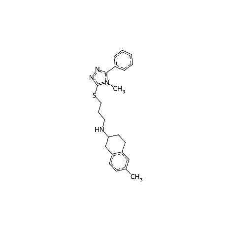 Cc1ccc2c(c1)CCC(NCCCSc1nnc(-c3ccccc3)n1C)C2